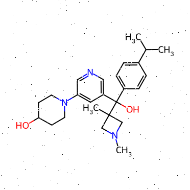 CC(C)c1ccc(C(O)(c2cncc(N3CCC(O)CC3)c2)C2(C)CN(C)C2)cc1